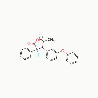 CC(C)C(c1cccc(Oc2ccccc2)c1)C(F)(C(=O)O)c1ccccc1